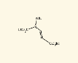 CCCCN(C=CC(=O)OCC)C(=O)OCC